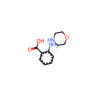 C1COCCN1.Nc1ccccc1C(=O)O